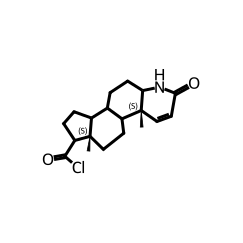 C[C@]12C=CC(=O)NC1CCC1C2CC[C@]2(C)C(C(=O)Cl)CCC12